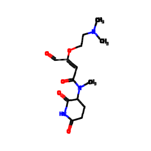 CN(C)CCO/C(C=O)=C/C(=O)N(C)C1CCC(=O)NC1=O